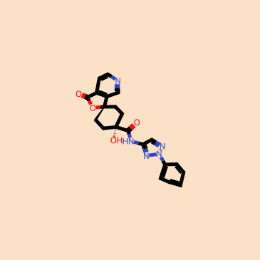 O=C1O[C@]2(CC[C@](O)(C(=O)Nc3cnn(-c4ccccc4)n3)CC2)c2cnccc21